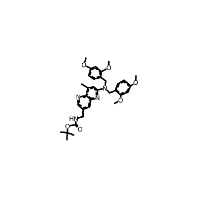 COc1ccc(CN(Cc2ccc(OC)cc2OC)c2cc(C)c3ncc(CNC(=O)OC(C)(C)C)cc3n2)c(OC)c1